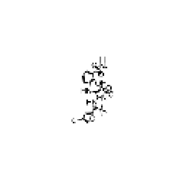 CNS(=O)(=O)c1cccc(NC2=NS(=O)(=O)N=C2N[C@@H](c2cc(Cl)co2)C(C)(C)C)c1O